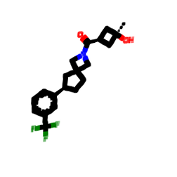 C[C@]1(O)C[C@@H](C(=O)N2CC3(CC[C@@H](c4cccc(C(F)(F)F)c4)C3)C2)C1